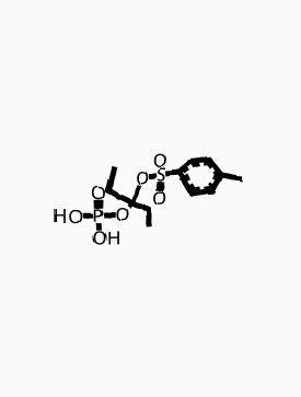 CCC(CC)(OP(=O)(O)O)OS(=O)(=O)c1ccc(C)cc1